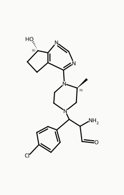 C[C@H]1CN(C(c2ccc(Cl)cc2)C(N)C=O)CCN1c1ncnc2c1CC[C@@H]2O